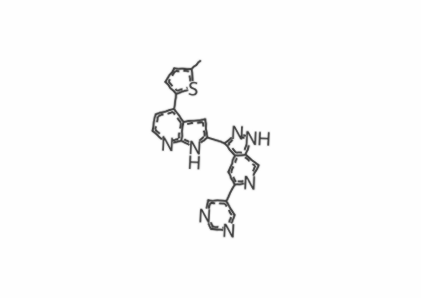 Cc1ccc(-c2ccnc3[nH]c(-c4n[nH]c5cnc(-c6cncnc6)cc45)cc23)s1